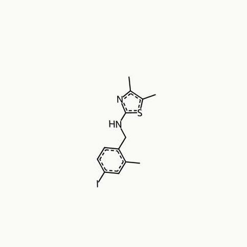 Cc1cc(I)ccc1CNc1nc(C)c(C)s1